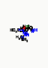 Cc1ccc2[nH]ncc2c1-c1cc2nc(NCCN(C)C)nc3c2c(c1Cl)OC[C@@H]1CN(C(=O)O)CCN31